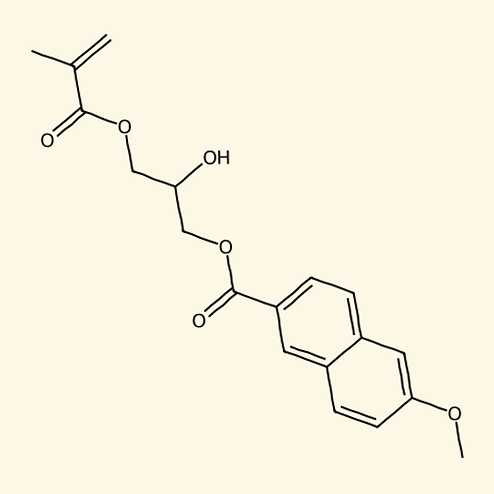 C=C(C)C(=O)OCC(O)COC(=O)c1ccc2cc(OC)ccc2c1